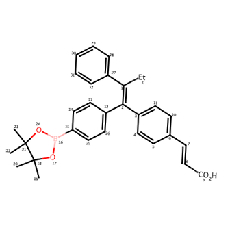 CC/C(=C(\c1ccc(/C=C/C(=O)O)cc1)c1ccc(B2OC(C)(C)C(C)(C)O2)cc1)c1ccccc1